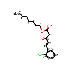 CCCCCCCCCCCCCCCCOC(=O)CC(=O)C=Cc1ccccc1Cl